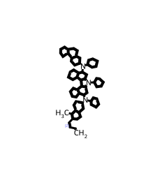 C=C/C=C\c1ccc2cc(N(c3ccccc3)c3cc4c(c5ccccc35)c3c5ccccc5c(N(c5ccccc5)c5ccc6c(ccc7ccccc76)c5)cc3n4-c3ccccc3)ccc2c1C